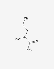 NC(=O)N(S)CCO